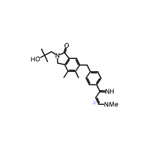 CN/C=C\C(=N)c1ccc(Cc2cc3c(c(C)c2C)CN(CC(C)(C)O)C3=O)cc1